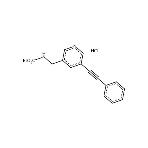 CCOC(=O)NCc1cncc(C#Cc2ccccc2)c1.Cl